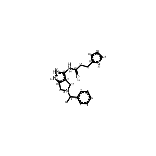 CC(c1ccccc1)N1Cc2n[nH]c(NC(=O)CCc3cccs3)c2C1